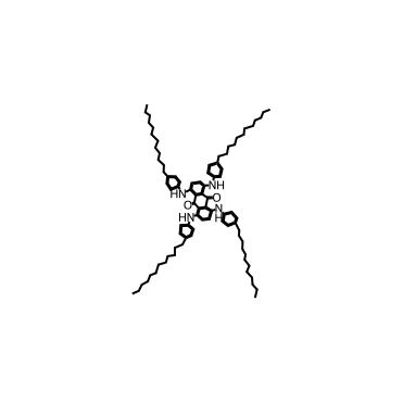 CCCCCCCCCCCCc1ccc(Nc2ccc(Nc3ccc(CCCCCCCCCCCC)cc3)c3c2C(=O)c2c(Nc4ccc(CCCCCCCCCCCC)cc4)ccc(Nc4ccc(CCCCCCCCCCCC)cc4)c2C3=O)cc1